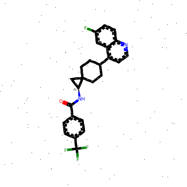 O=C(N[C@H]1CC12CCC(c1ccnc3ccc(F)cc13)CC2)c1ccc(C(F)(F)F)cc1